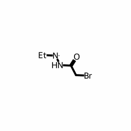 CC[N]NC(=O)CBr